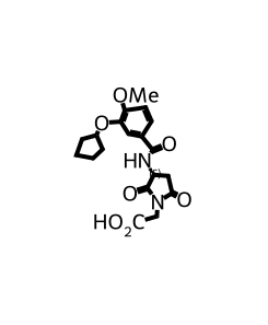 COc1ccc(C(=O)N[C@H]2CC(=O)N(CC(=O)O)C2=O)cc1OC1CCCC1